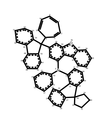 C1=CC=CC(C2(c3cc(N(c4ccccc4)c4cccc5c4-c4ccccc4C54CCCC4)c4c(c3)oc3ccccc34)c3ccccc3-c3ccccc32)C=C1